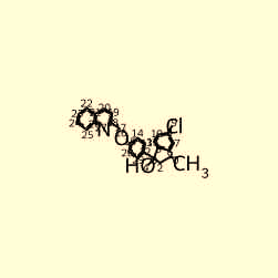 CCCC(O)(c1ccc(Cl)cc1)c1ccc(OCc2ccc3ccccc3n2)cc1